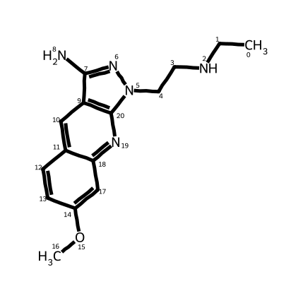 CCNCCn1nc(N)c2cc3ccc(OC)cc3nc21